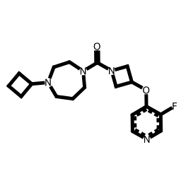 O=C(N1CCCN(C2CCC2)CC1)N1CC(Oc2ccncc2F)C1